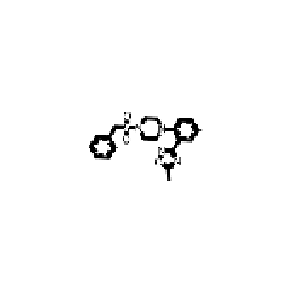 Cc1nc(-c2c[c]ccc2N2CCN(S(=O)(=O)Cc3ccccc3)CC2)no1